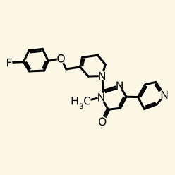 Cn1c(N2CCC=C(COc3ccc(F)cc3)C2)nc(-c2ccncc2)cc1=O